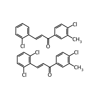 Cc1cc(C(=O)C=Cc2c(Cl)cccc2Cl)ccc1Cl.Cc1cc(C(=O)C=Cc2ccccc2Cl)ccc1Cl